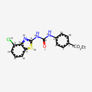 CCOC(=O)c1ccc(NC(=O)Nc2nc3c(Cl)cccc3s2)cc1